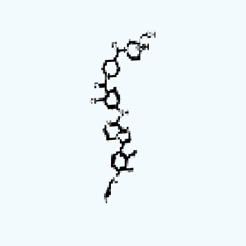 N#CCOc1ccc(-c2cnc3c(Nc4ccc(C(=O)N5CCC(C(=O)N6CCN[C@@H](CO)C6)CC5)c(Cl)c4)nccn23)c(F)c1F